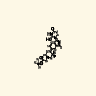 Cn1nc(N2CCC(=O)NC2O)c2ccc(C3CCN(CC(=O)OC(C)(C)C)CC3(F)F)cc21